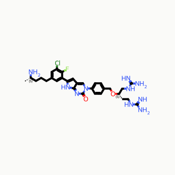 C[C@H](N)CCCc1cc(Cl)c(F)c(-c2cc3cn(-c4ccc(CO[C@@H](CCNC(=N)N)CNC(=N)N)cc4)c(=O)nc3[nH]2)c1